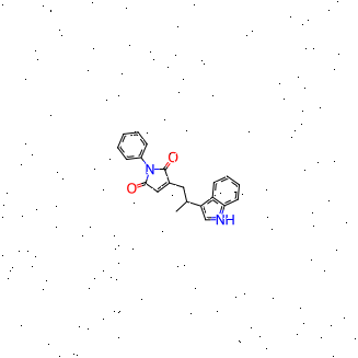 CC(CC1=CC(=O)N(c2ccccc2)C1=O)c1c[nH]c2ccccc12